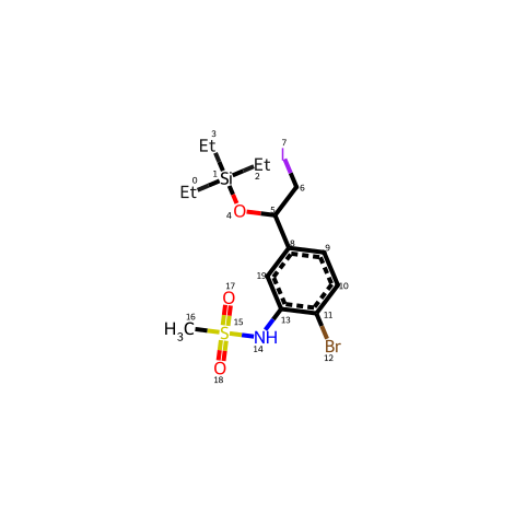 CC[Si](CC)(CC)OC(CI)c1ccc(Br)c(NS(C)(=O)=O)c1